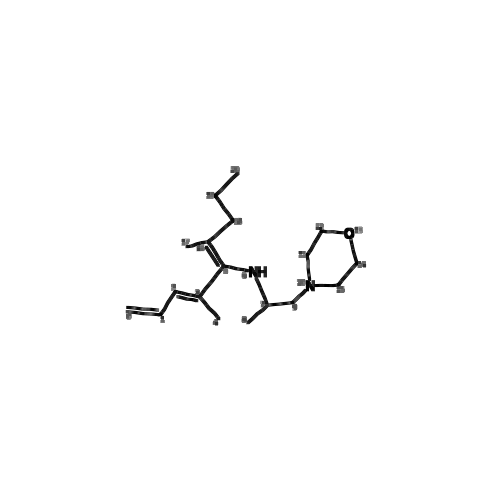 C=C/C=C(C)/C(NC(C)CN1CCOCC1)=C(\C)CCC